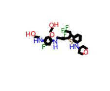 OCCNc1cc(OCCO)c(NCC#Cc2sc3c(NC4CCOCC4)cccc3c2CC(F)(F)F)cc1F